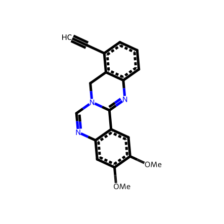 C#Cc1cccc2c1CN1C=Nc3cc(OC)c(OC)cc3C1=N2